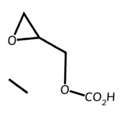 CC.O=C(O)OCC1CO1